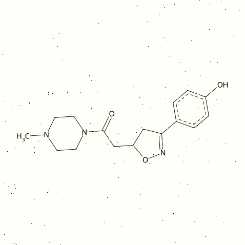 CN1CCN(C(=O)CC2CC(c3ccc(O)cc3)=NO2)CC1